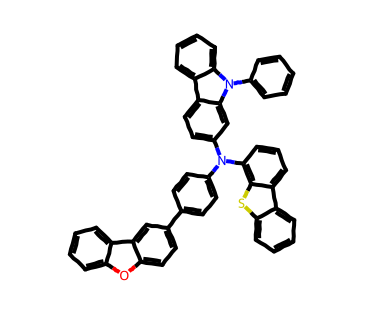 c1ccc(-n2c3ccccc3c3ccc(N(c4ccc(-c5ccc6oc7ccccc7c6c5)cc4)c4cccc5c4sc4ccccc45)cc32)cc1